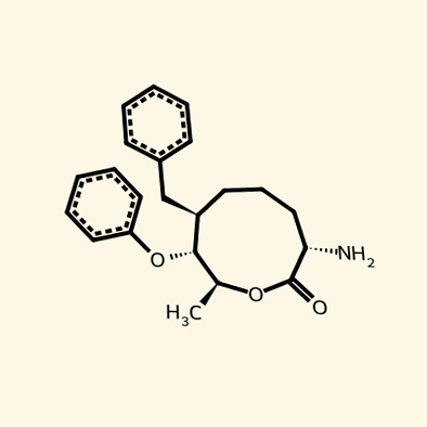 C[C@@H]1OC(=O)[C@@H](N)CCC[C@H](Cc2ccccc2)[C@H]1Oc1ccccc1